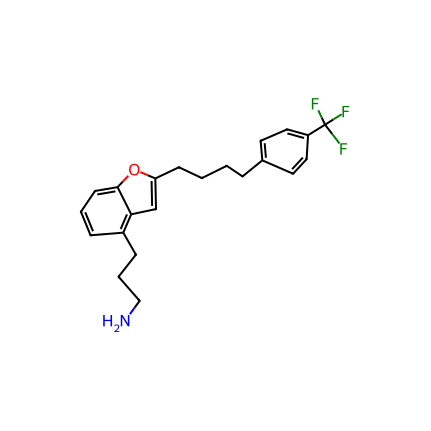 NCCCc1cccc2oc(CCCCc3ccc(C(F)(F)F)cc3)cc12